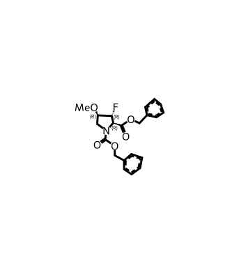 CO[C@@H]1CN(C(=O)OCc2ccccc2)[C@H](C(=O)OCc2ccccc2)[C@H]1F